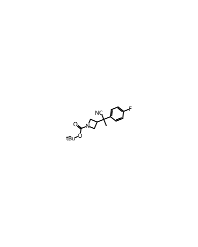 CC(C)(C)OC(=O)N1CC(C(C)(C#N)c2ccc(F)cc2)C1